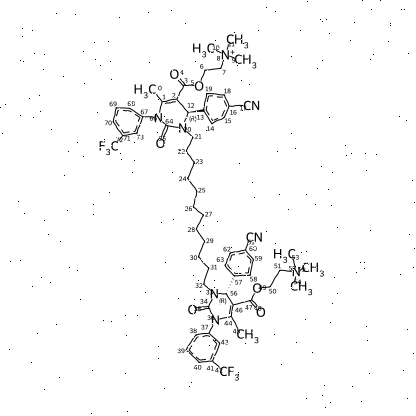 CC1=C(C(=O)OCC[N+](C)(C)C)[C@@H](c2ccc(C#N)cc2)N(CCCCCCCCCCCCN2C(=O)N(c3cccc(C(F)(F)F)c3)C(C)=C(C(=O)OCC[N+](C)(C)C)[C@H]2c2ccc(C#N)cc2)C(=O)N1c1cccc(C(F)(F)F)c1